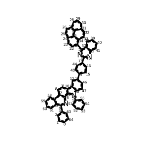 c1ccc(-c2nc3c(ccc4c5cc(-c6ccc(-c7nc(-c8ccc9ccc%10cccc%11ccc8c9c%10%11)c8ccccc8n7)cc6)ccc5n(-c5ccccc5)c43)c3ccccc23)cc1